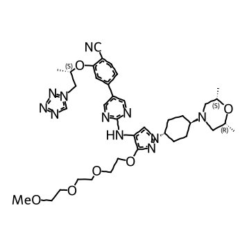 COCCOCCOCCOc1nn([C@H]2CC[C@H](N3C[C@@H](C)O[C@@H](C)C3)CC2)cc1Nc1ncc(-c2ccc(C#N)c(O[C@@H](C)Cn3cnnn3)c2)cn1